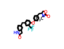 CN1C(=O)OCC1Cc1ccc(Oc2ccc(Cc3ccc4c(c3)CC(=O)N4)cc2C(F)(F)F)cc1